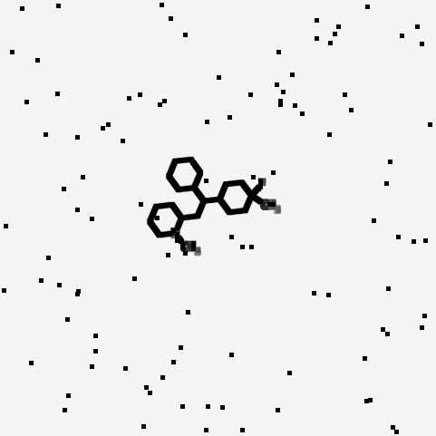 CN1CCCCC1CC(C1CCCCC1)C1CCC(C)(F)CC1